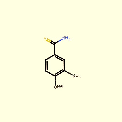 COc1ccc(C(N)=S)cc1[N+](=O)[O-]